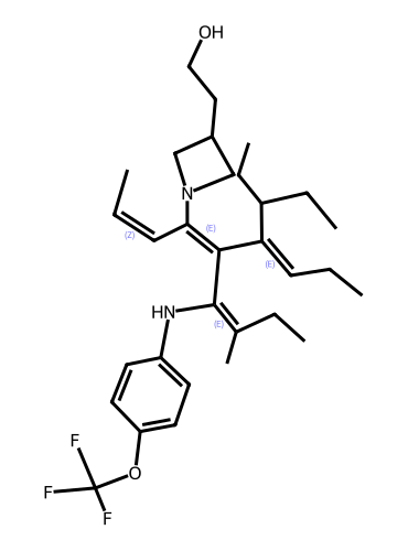 C\C=C/C(=C(C(=C/CC)/C(CC)CC)\C(Nc1ccc(OC(F)(F)F)cc1)=C(\C)CC)N1CC(CCO)C1